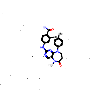 Cc1cc(Nc2ncc3c(n2)N(c2ccc(C(C)(C)C)cc2)CCC(=O)N3C)ccc1C(N)=O